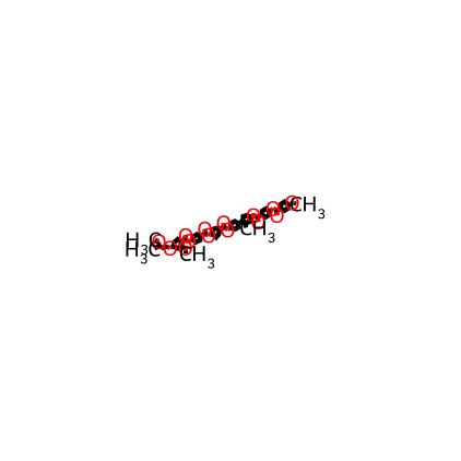 COc1ccc(C(=O)Oc2ccc(C(=O)Oc3ccc(-c4ccc(OC(=O)c5ccc(OC(=O)c6ccc(OC(=O)c7ccc(OCCC(C)OC)cc7OC)cc6)cc5)cc4)c(C)c3)cc2)cc1